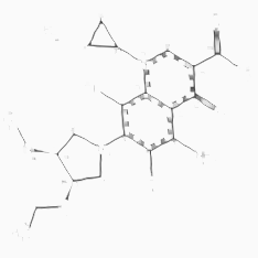 CCO[C@@H]1CN(c2c(F)c(N)c3c(=O)c(C(=O)O)cn(C4CC4)c3c2F)C[C@@H]1NC.Cl